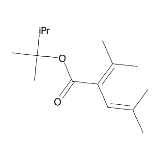 CC(C)=CC(C(=O)OC(C)(C)C(C)C)=C(C)C